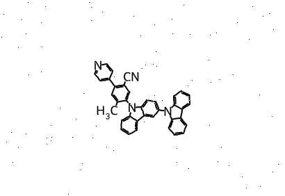 Cc1cc(-c2ccncc2)c(C#N)cc1-n1c2ccccc2c2cc(-n3c4ccccc4c4ccccc43)ccc21